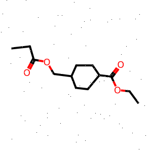 CCOC(=O)C1CCC(COC(=O)CC)CC1